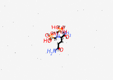 NC(=O)CCC(C(N)=O)N(CP(=O)(O)O)CP(=O)(O)O